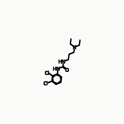 CCN(CC)CCCNC(=O)Nc1cccc(Cl)c1Cl